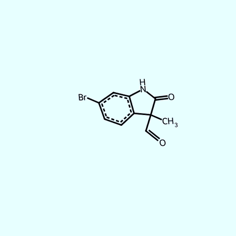 CC1(C=O)C(=O)Nc2cc(Br)ccc21